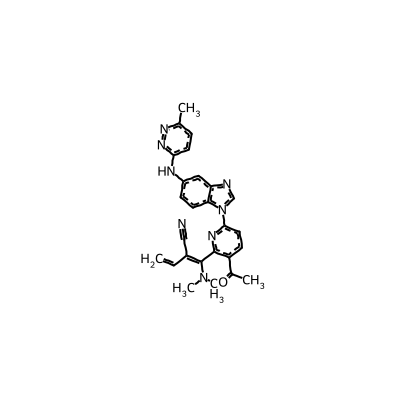 C=C/C(C#N)=C(/c1nc(-n2cnc3cc(Nc4ccc(C)nn4)ccc32)ccc1C(C)=O)N(C)C